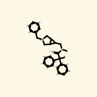 CN(CC1C2CN(Cc3ccccc3)CC21)C(=O)C(C)(c1ccccc1)c1ccccc1